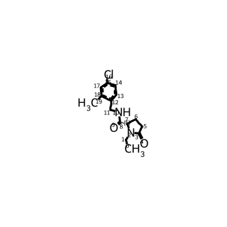 CCN1C(=O)CC[C@H]1C(=O)NCc1ccc(Cl)cc1C